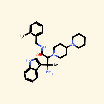 CC(=O)C(N)(c1c[nH]c2ccccc12)C(C(=O)NCc1ccccc1C)N1CCC(N2CCCCC2)CC1